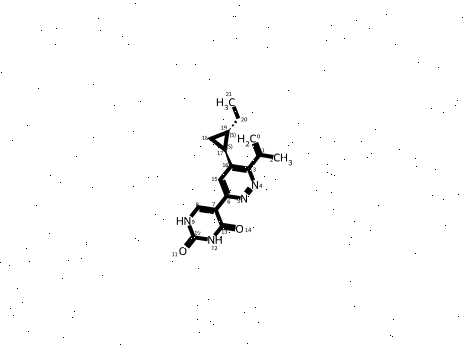 C=C(C)c1nnc(-c2c[nH]c(=O)[nH]c2=O)cc1[C@H]1C[C@@H]1CC